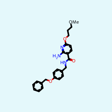 COCCCOc1ccc(C(=O)NCc2ccc(OCc3ccccc3)cc2)c(N)n1